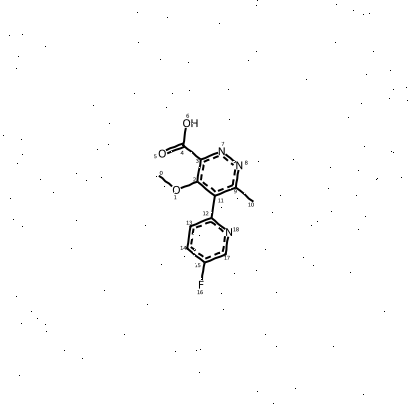 COc1c(C(=O)O)nnc(C)c1-c1ccc(F)cn1